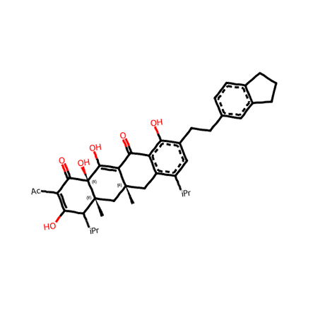 CC(=O)C1=C(O)C(C(C)C)[C@@]2(C)C[C@@]3(C)Cc4c(C(C)C)cc(CCc5ccc6c(c5)CCC6)c(O)c4C(=O)C3=C(O)[C@@]2(O)C1=O